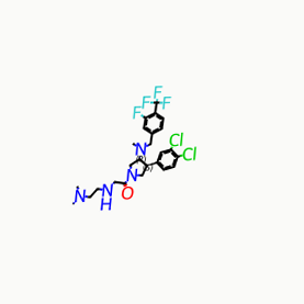 CN(C)CCNCC(=O)N1C[C@H](c2ccc(Cl)c(Cl)c2)[C@@H](N(C)Cc2ccc(C(F)(F)F)c(F)c2)C1